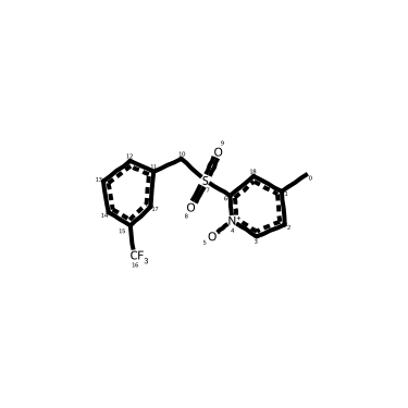 Cc1cc[n+]([O-])c(S(=O)(=O)Cc2cccc(C(F)(F)F)c2)c1